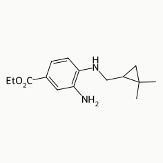 CCOC(=O)c1ccc(NCC2CC2(C)C)c(N)c1